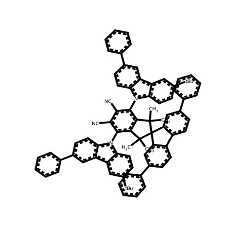 CC(C)(C)c1ccc2c(c1)c1cc(-c3ccccc3)ccc1n2-c1c(C#N)c(C#N)c(-n2c3ccc(-c4ccccc4)cc3c3cc(C(C)(C)C)ccc32)c2c1C(C)(C)C1(c3cc(-c4ccccc4)ccc3-c3ccc(-c4ccccc4)cc31)C2(C)C